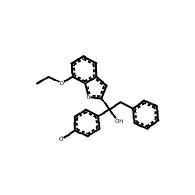 CCOc1cccc2cc(C(O)(Cc3ccccc3)c3ccc(Cl)cc3)oc12